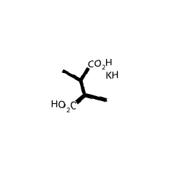 CC(C(=O)O)C(C)C(=O)O.[KH]